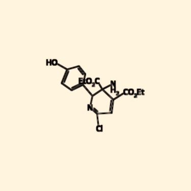 CCOC(=O)C1=CC(Cl)=NC(c2ccc(O)cc2)C1(N)C(=O)OCC